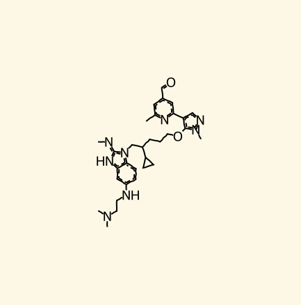 C/N=c1\[nH]c2cc(NCCN(C)C)ccc2n1CC(CCCOc1c(-c2cc(C=O)cc(C)n2)cnn1C)C1CC1